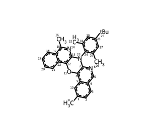 Cc1ccc2cnc3c(c2c1)Oc1c(nc(C)c2ccccc12)N3c1c(C)cc(C(C)(C)C)cc1C